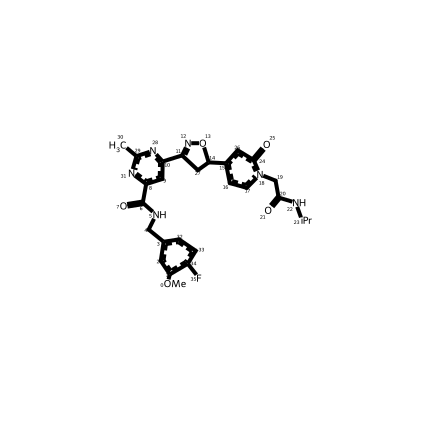 COc1cc(CNC(=O)c2cc(C3=NOC(c4ccn(CC(=O)NC(C)C)c(=O)c4)C3)nc(C)n2)ccc1F